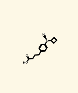 N#CN(c1ccc(CCCC(=O)O)cc1)C1CCC1